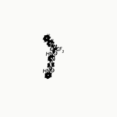 O=C(Nc1ccc(N2CCN(C(=O)Nc3ccccc3)CC2)nc1)c1oc(N2CCC(c3ccccc3)CC2)nc1C(F)(F)F